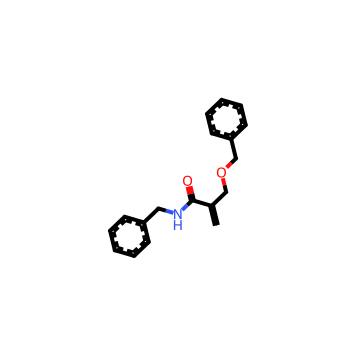 C=C(COCc1ccccc1)C(=O)NCc1ccccc1